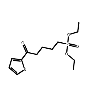 CCOP(=O)(CCCCC(=O)c1cccs1)OCC